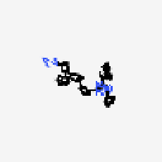 N#Cc1ccc2c(c1)C1(c3cc(-c4cccc(-c5nc(-c6ccccc6)nc(-c6ccccc6)n5)c4)ccc3-2)C2CC3CC(C2)CC1C3